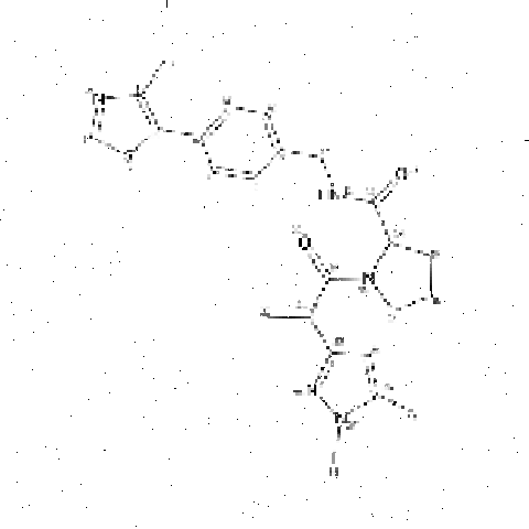 Cc1ncsc1-c1ccc(CNC(=O)C2CCCN2C(=O)C(C)c2cc(C)n(I)n2)cc1